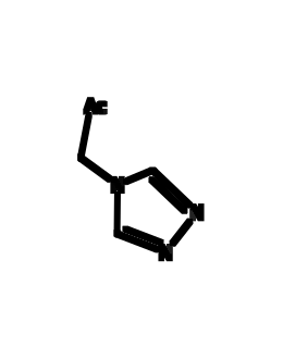 CC(=O)Cn1cnnc1